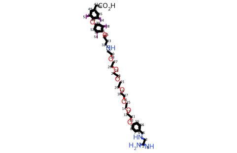 N=C(N)CNCc1ccc(OCCOCCOCCOCCOCCOCCOCCNCCCOc2c(I)cc(Oc3c(I)cc(CC(=O)O)cc3I)cc2I)cc1